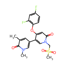 Cc1cc(-c2cn(CS(C)(=O)=O)c(=O)cc2Oc2ccc(F)cc2F)cn(C)c1=O